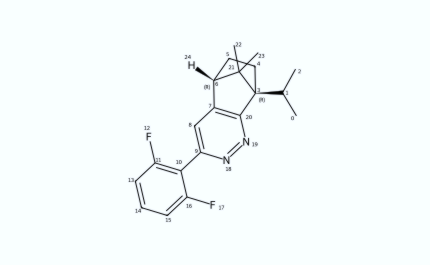 CC(C)[C@@]12CC[C@@H](c3cc(-c4c(F)cccc4F)nnc31)C2(C)C